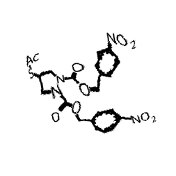 CC(=O)SC1CN(C(=O)OCc2ccc([N+](=O)[O-])cc2)N(C(=O)OCc2ccc([N+](=O)[O-])cc2)C1